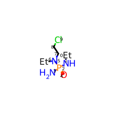 CCNP(N)(=O)N(CC)CCCl